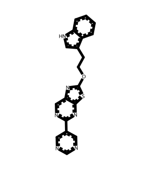 c1ccc2c(CCOc3nc4cnc(-c5cncnc5)nc4s3)c[nH]c2c1